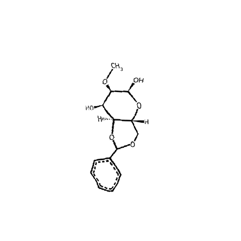 CO[C@@H]1[C@H](O)[C@@H]2OC(c3ccccc3)OC[C@H]2O[C@@H]1O